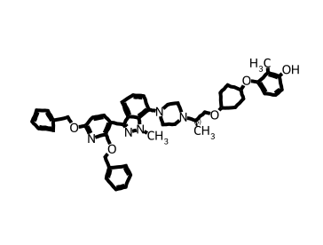 Cc1c(O)cccc1OC1CCC(OC[C@H](C)N2CCN(c3cccc4c(-c5ccc(OCc6ccccc6)nc5OCc5ccccc5)nn(C)c34)CC2)CC1